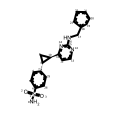 NS(=O)(=O)c1ccc([C@@H]2C[C@H]2c2ccnc(NCc3ccccc3)n2)cc1